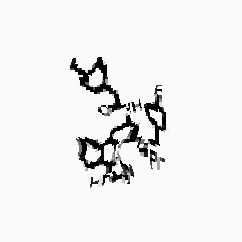 CCCN(Cc1ccc(F)cc1)c1cc(NC(=O)Cc2ccc(C)cc2)cc(-c2ccccc2-c2nnn[nH]2)n1